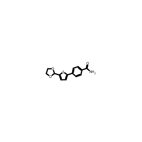 NC(=O)c1ccc(-c2ccc(C3OCCO3)s2)cc1